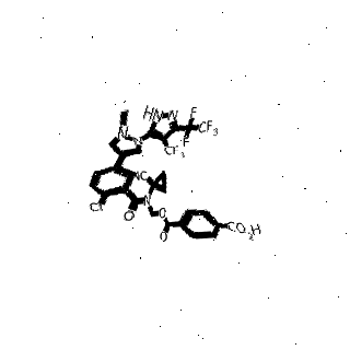 CN1CC(c2ccc(Cl)c(C(=O)N(COC(=O)c3ccc(C(=O)O)cc3)C3(C#N)CC3)c2)=CN1c1[nH]nc(C(F)(F)C(F)(F)F)c1C(F)(F)F